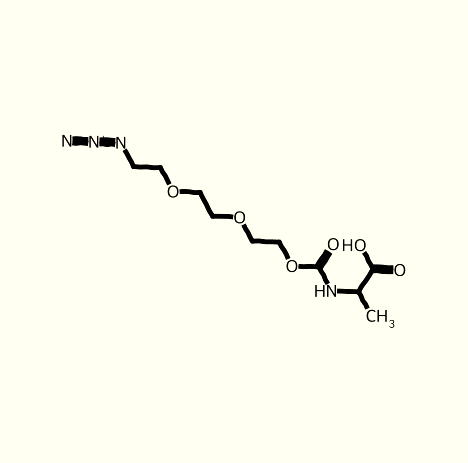 CC(NC(=O)OCCOCCOCCN=[N+]=[N-])C(=O)O